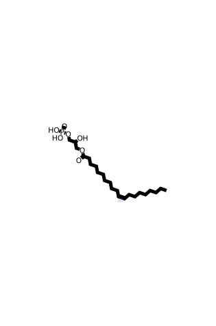 CCCCCCCC/C=C\CCCCCCCCCC(=O)OCC(O)COP(=O)(O)O